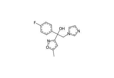 Cc1cc(C(O)(Cn2ccnc2)c2ccc(F)cc2)no1